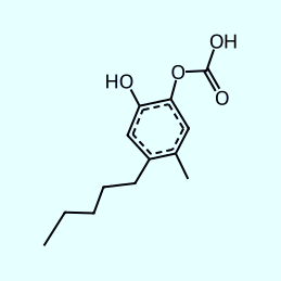 CCCCCc1cc(O)c(OC(=O)O)cc1C